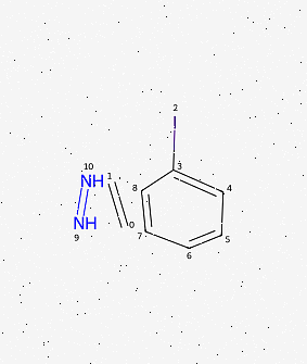 C=C.Ic1ccccc1.N=N